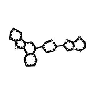 c1ccc2c(c1)oc1c3ccccc3c(-c3ccc(-c4cn5cccnc5n4)nc3)cc21